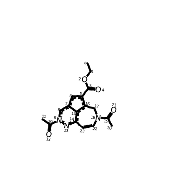 CCOC(=O)c1cc2cn(C(C)=O)nc3c-2c1CN(C(C)=O)C=C3